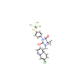 O=C1N(c2ccc(SC(F)(F)F)cc2)C(=O)C2(CC2)N1Cc1ccnc2cc(Cl)ccc12